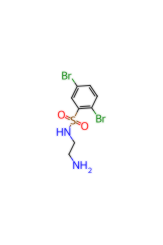 NCCNS(=O)(=O)c1cc(Br)ccc1Br